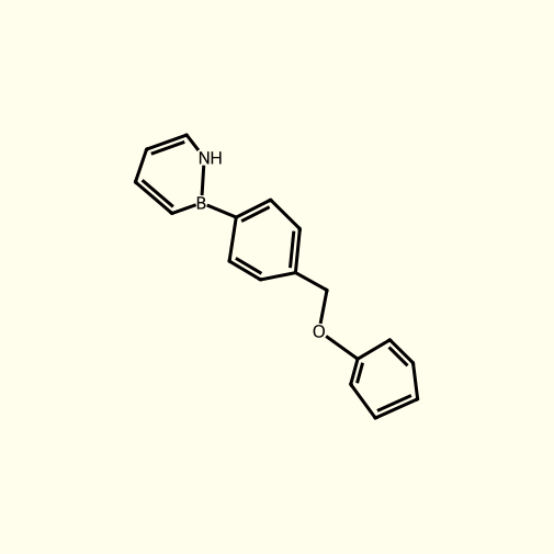 C1=CNB(c2ccc(COc3ccccc3)cc2)C=C1